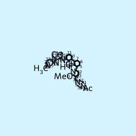 COc1nc(-c2cccc(-c3cccc(NC(=O)c4nc5c(n4C)CCN(C)C5)c3Cl)c2F)ccc1CN1CCN(C(C)=O)CC1